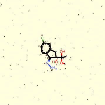 COC(C)(O)[C@]1(O)Cc2cc(Cl)ccc2/C1=N/N